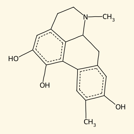 Cc1cc2c(cc1O)CC1c3c(cc(O)c(O)c3-2)CCN1C